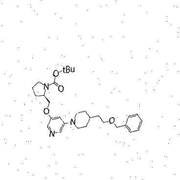 CC(C)(C)OC(=O)N1CCC[C@@H]1COc1cncc(N2CCC(CCOCc3ccccc3)CC2)c1